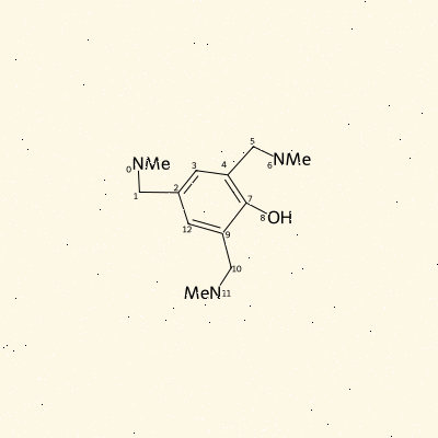 CNCc1cc(CNC)c(O)c(CNC)c1